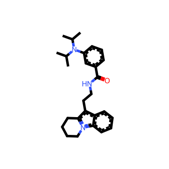 CC(C)N(c1cccc(C(=O)NCCc2c3n(c4ccccc24)CCCC3)c1)C(C)C